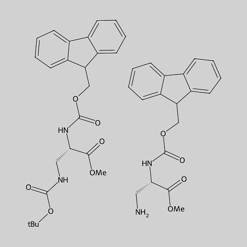 COC(=O)[C@H](CN)NC(=O)OCC1c2ccccc2-c2ccccc21.COC(=O)[C@H](CNC(=O)OC(C)(C)C)NC(=O)OCC1c2ccccc2-c2ccccc21